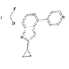 FC(F)Oc1ccc(-c2ccncc2)c2cn(C3CC3)nc12